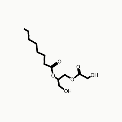 CCCCCCCC(=O)OC(CO)COC(=O)CO